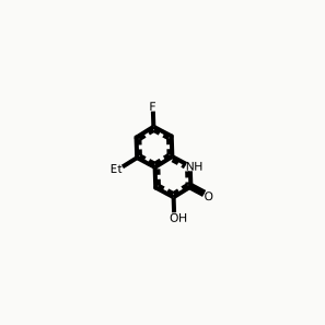 CCc1cc(F)cc2[nH]c(=O)c(O)cc12